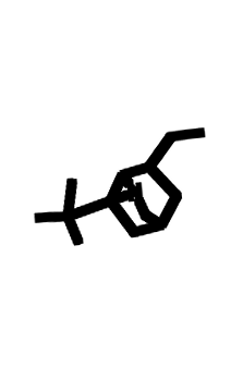 CCC1CC2CCC1N(C(C)(C)C)C2